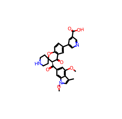 COc1cc(C(=O)[C@@H]2C(=O)c3cc(-c4cncc(C(=O)O)c4)ccc3OC23CCNCC3)cc2c1c(C)cn2OC